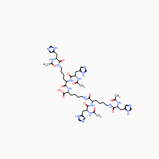 CC(=O)NC(Cc1cnc[nH]1)C(=O)NCCCCC(NC(=O)C(Cc1cnc[nH]1)NC(C)=O)C(=O)NCCCCC(NC(=O)C(CCCCNC(=O)C(Cc1cnc[nH]1)NC(C)=O)NC(=O)C(Cc1cnc[nH]1)NC(C)=O)C(=O)O